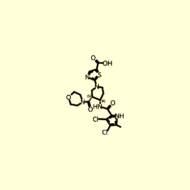 Cc1[nH]c(C(=O)N[C@@H]2CCN(c3ncc(C(=O)O)s3)C[C@@H]2C(=O)N2CCOCC2)c(Cl)c1Cl